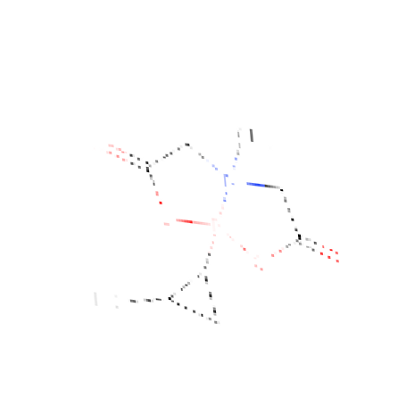 C[N+]12CC(=O)O[B-]1(C1CC1C(F)(F)F)OC(=O)C2